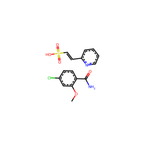 COc1cc(Cl)ccc1C(N)=O.O=S(=O)(O)/C=C/c1ccccn1